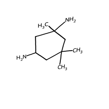 CC1(C)CC(N)CC(C)(N)C1